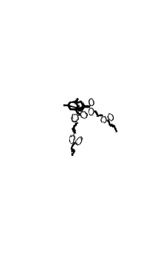 CC=CC(=O)OCCCOC(=O)C12CC3(C)CC(C)(C1)CC(C(=O)OCCCOC(=O)C=CC)(C3)C2